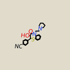 N#Cc1ccc(C2Sc3ccccc3N(CCN3CCCCC3)C(=O)C2O)cc1